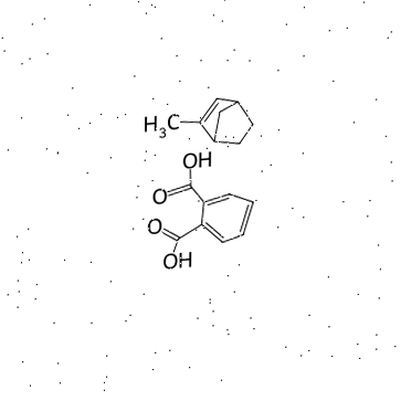 CC1=CC2CCC1C2.O=C(O)c1ccccc1C(=O)O